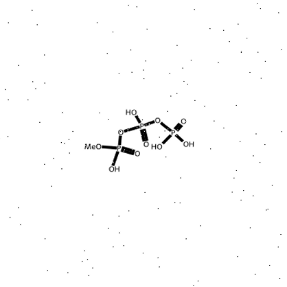 COP(=O)(O)OP(=O)(O)OP(=O)(O)O